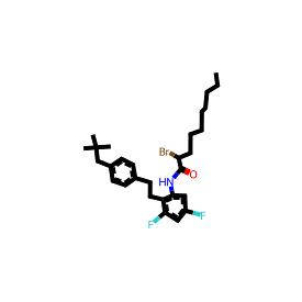 CCCCCCCCC(Br)C(=O)Nc1cc(F)cc(F)c1CCc1ccc(CC(C)(C)C)cc1